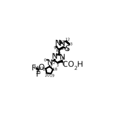 CN(c1cc(C(=O)O)nc(-c2cnn3ccsc23)n1)[C@H]1CCC[C@@H]1OC(F)F